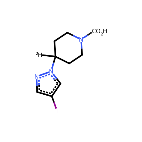 [2H]C1(n2cc(I)cn2)CCN(C(=O)O)CC1